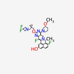 CCO[C@@H]1CCCN(c2nc(OCC3(CN4CC(F)(F)C4)CC3)nc3c(F)c(-c4cc(O)cc5ccc(F)c(CC)c45)ncc23)C1